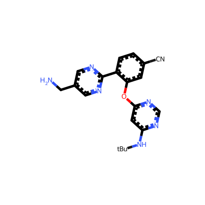 CC(C)(C)Nc1cc(Oc2cc(C#N)ccc2-c2ncc(CN)cn2)ncn1